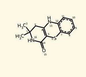 CC1(C)CC2=C(Sc3ccccc3N2)C(=O)N1